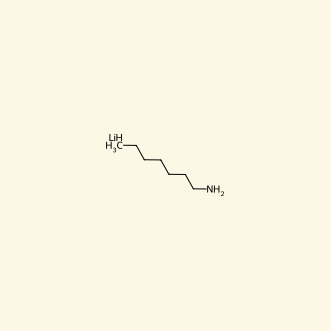 CCCCCCCN.[LiH]